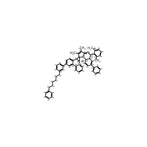 CC1=C(C)C2(C3c4ccc(-c5cccc(CCCCCCc6ccccc6)c5)cc4-c4cccc[n+]4[C@@H]32)N2C1=NC(c1c(C)cccc1C)C1C=C(c3ccccc3)C=CC12